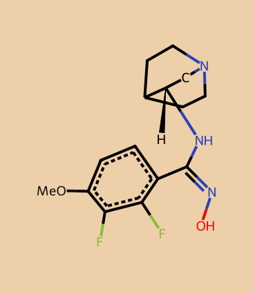 COc1ccc(/C(=N\O)N[C@H]2CN3CCC2CC3)c(F)c1F